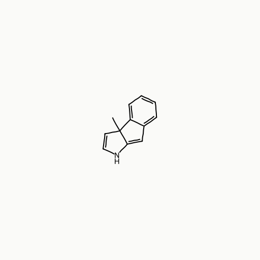 CC12C=CNC1=Cc1ccccc12